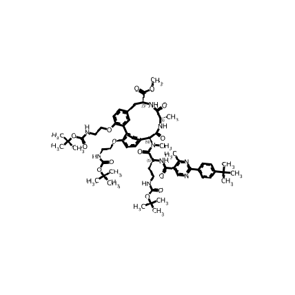 COC(=O)[C@@H]1Cc2ccc(OCCNC(=O)OC(C)(C)C)c(c2)-c2cc(ccc2OCCNC(=O)OC(C)(C)C)[C@H](N(C)C(=O)[C@H](CCNC(=O)OC(C)(C)C)NC(=O)c2cnc(-c3ccc(C(C)(C)C)cc3)nc2C)C(=O)N[C@@H](C)C(=O)N1